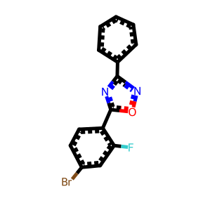 Fc1cc(Br)ccc1-c1nc(-c2ccccc2)no1